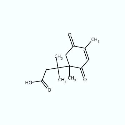 CC1=CC(=O)C(C)(C(C)(C)CC(=O)O)CC1=O